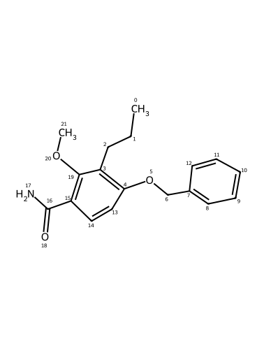 CCCc1c(OCc2ccccc2)ccc(C(N)=O)c1OC